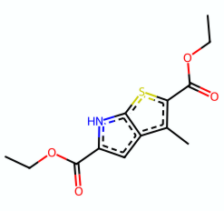 CCOC(=O)c1cc2c(C)c(C(=O)OCC)sc2[nH]1